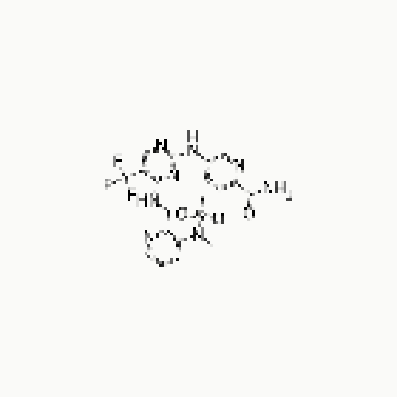 CN(c1cccnc1CNc1nc(Nc2ccc(C(N)=O)nc2)ncc1C(F)(F)F)S(C)(=O)=O